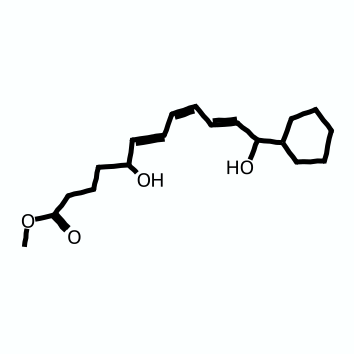 COC(=O)CCCC(O)/C=C/C=C\C=C\C(O)C1CCCCC1